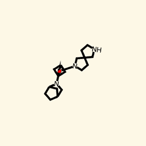 C1CC2(CCN(N3CC4(N5CC6CCC5C6)CC3C4)C2)CN1